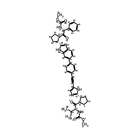 COC(=O)N[C@H](C(=O)N1CCC[C@H]1c1ncc(C#Cc2ccc(-c3ccc4nc([C@@H]5CCCN5C(=O)[C@H](NC(=O)OC)c5ccccc5)[nH]c4c3)nc2)[nH]1)C(C)C